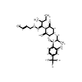 CCC(C)C(=NOCC=CCl)[C@H]1C(=O)C[C@H](CC(C)[S+]([O-])c2ccc(C(F)(F)F)cc2Cl)CC1=O